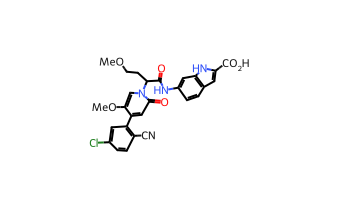 COCCC(C(=O)Nc1ccc2cc(C(=O)O)[nH]c2c1)n1cc(OC)c(-c2cc(Cl)ccc2C#N)cc1=O